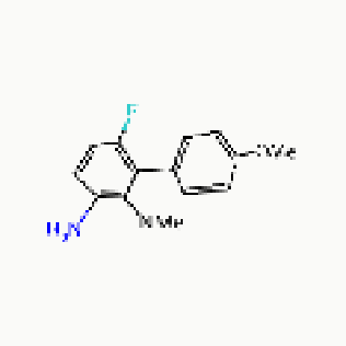 CNc1c(N)ccc(F)c1-c1ccc(OC)cc1